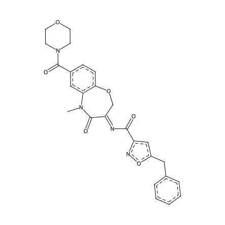 CN1C(=O)/C(=N/C(=O)c2cc(Cc3ccccc3)on2)COc2ccc(C(=O)N3CCOCC3)cc21